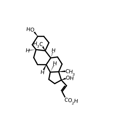 C[C@]12CC[C@H](O)C[C@@H]1CC[C@@H]1[C@@H]2CC[C@@]2(C)[C@H]1CC[C@@]2(O)C=CC(=O)O